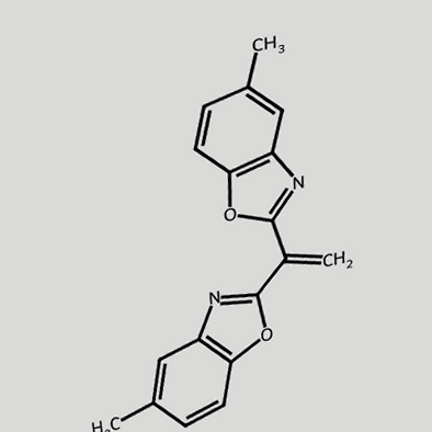 C=C(c1nc2cc(C)ccc2o1)c1nc2cc(C)ccc2o1